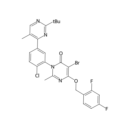 Cc1cnc(C(C)(C)C)nc1-c1ccc(Cl)c(-n2c(C)nc(OCc3ccc(F)cc3F)c(Br)c2=O)c1